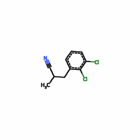 CC(C#N)Cc1cccc(Cl)c1Cl